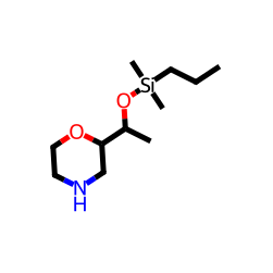 CCC[Si](C)(C)OC(C)C1CNCCO1